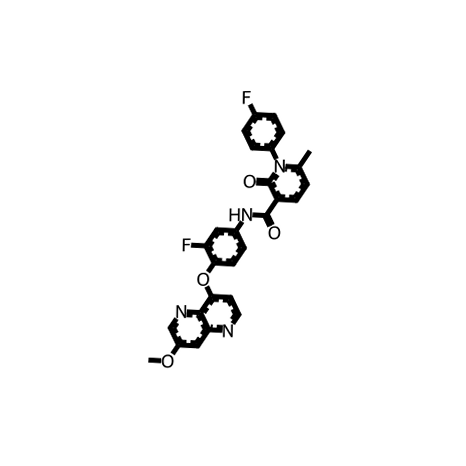 COc1cnc2c(Oc3ccc(NC(=O)c4ccc(C)n(-c5ccc(F)cc5)c4=O)cc3F)ccnc2c1